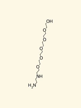 NCCNCCOCCOCCOCCOCCOCCO